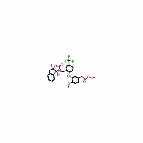 CCOC(=O)Cc1ccc(OC)c(Oc2ccc(C(F)(F)F)cc2CN2C(=O)O[C@H]3Cc4ccccc4[C@H]32)c1